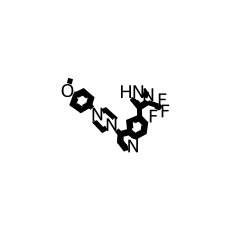 COc1ccc(N2CCN(c3ccnc4ccc(-c5c[nH]nc5C(F)(F)F)cc34)CC2)cc1